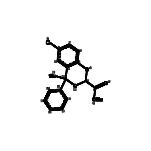 COC(=O)C1Oc2ccc(Cl)cc2C(c2ccccc2)(C(C)(C)C)O1